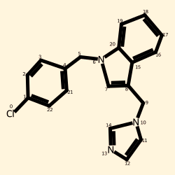 Clc1ccc(Cn2cc(Cn3ccnc3)c3ccccc32)cc1